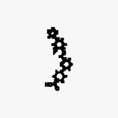 O=C(O)N1CCC(c2cccc(COc3ccc(-n4cnnn4)cc3F)n2)CC1